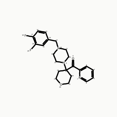 O=C(c1ccccn1)C1(N2CCN(Cc3ccc(F)c(F)c3)CC2)CCOCC1